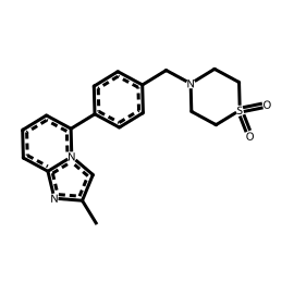 Cc1cn2c(-c3ccc(CN4CCS(=O)(=O)CC4)cc3)cccc2n1